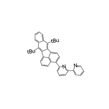 CC(C)(C)c1c2c(c(C(C)(C)C)c3ccccc13)-c1ccc(-c3cccc(-c4ccccn4)n3)c3cccc-2c13